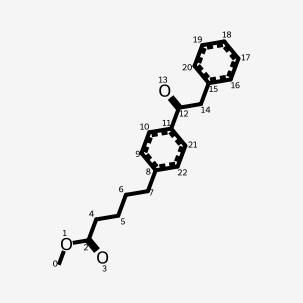 COC(=O)CCCCc1ccc(C(=O)Cc2ccccc2)cc1